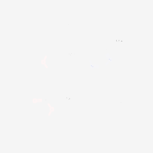 CCOC(=O)C(C)OC(=O)c1cc(Oc2ccc(C(F)(F)F)cc2Cl)ccc1[N+](=O)[O-].COc1cc(OC)nc(Sc2cccc(Cl)c2C(=O)O)n1